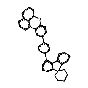 c1ccc2c(c1)-c1c(-c3ccc(-c4ccc5c(c4)-c4cccc6cccc(c46)O5)cc3)cccc1C21CCCCC1